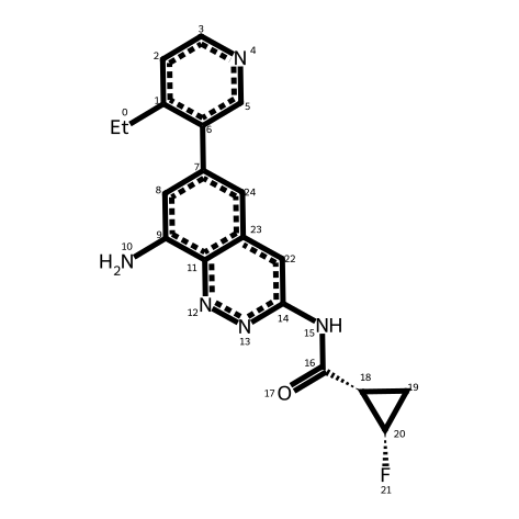 CCc1ccncc1-c1cc(N)c2nnc(NC(=O)[C@@H]3C[C@@H]3F)cc2c1